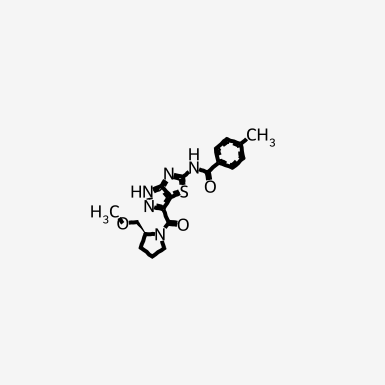 COC[C@@H]1CCCN1C(=O)c1n[nH]c2nc(NC(=O)c3ccc(C)cc3)sc12